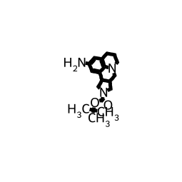 CC(C)(C)OC(=O)N1CC2CN3CCCc4cc(N)cc(c43)C2C1